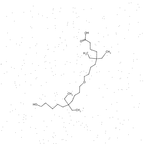 CCC(CC)(CCCCCO)CCCCOCCCCC(CC)(CC)CCCC(=O)O